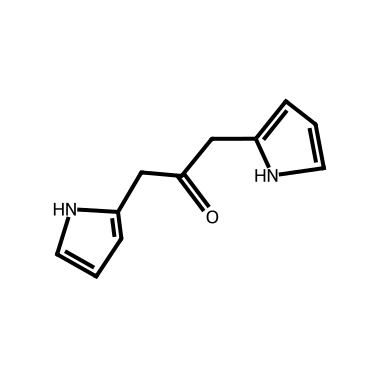 O=C(Cc1ccc[nH]1)Cc1ccc[nH]1